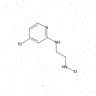 CCNCCNc1cc(CC)ccn1